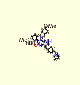 CCCCOc1nc(N(Cc2ccc(OC)cc2)Cc2ccc(OC)cc2)c2[nH]nc(Cc3ccc(CN4CCCC4)cc3)c2n1